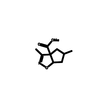 COC(=O)C12CC(C)CC1ON=C2C